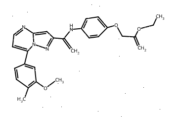 C=C(COc1ccc(NC(=C)c2cc3nccc(-c4ccc(C)c(OC)c4)n3n2)cc1)OCC